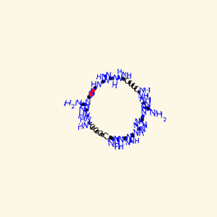 N=C1CCCCC(=N)NNc2nc(N)n(n2)-c2nnc(nn2)Nc2nc(n[nH]2)NNC(=N)CCCCC(=N)NNc2nc(N)n(n2)-c2nnc(nn2)Nc2nc(n[nH]2)NN1